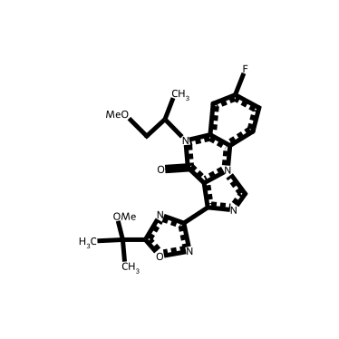 COCC(C)n1c(=O)c2c(-c3noc(C(C)(C)OC)n3)ncn2c2ccc(F)cc21